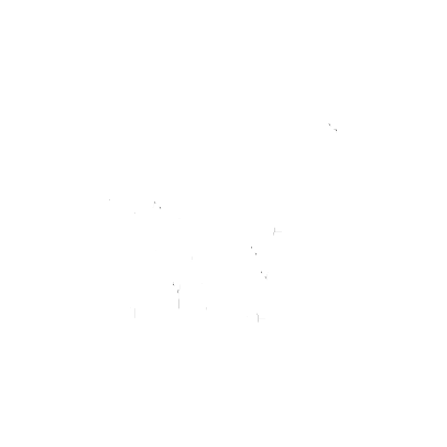 Cc1ccc(C(=O)N2CCC(c3ccc(C#N)cc3)CC2)cc1NS(=O)(=O)c1cn(C)nc1C